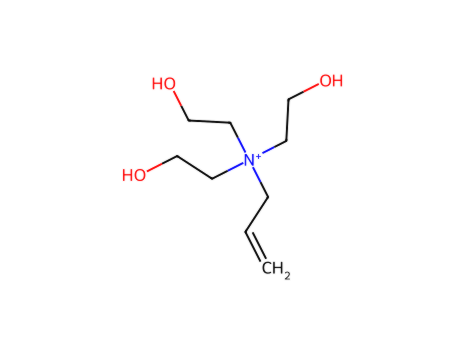 C=CC[N+](CCO)(CCO)CCO